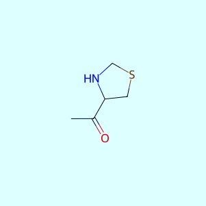 CC(=O)C1CSCN1